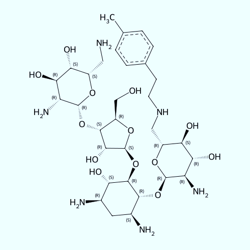 Cc1ccc(CCNC[C@H]2O[C@H](O[C@H]3[C@H](O[C@@H]4O[C@H](CO)[C@@H](O[C@H]5O[C@@H](CN)[C@@H](O)[C@H](O)[C@H]5N)[C@H]4O)[C@@H](O)[C@H](N)C[C@@H]3N)[C@H](N)[C@@H](O)[C@@H]2O)cc1